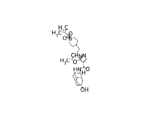 CC(C)Oc1c(C(=O)N[C@H]2C3CC4CC2C[C@](O)(C4)C3)cnn1CCC1CCN(S(=O)(=O)C(C)C)CC1